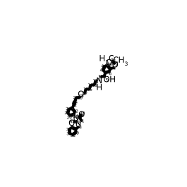 CC1(C)OCc2cc([C@H](O)CNCCCCCCOCCC#Cc3cccc(N4C(=O)CN(Cc5ccccc5)C4=O)c3)ccc2O1